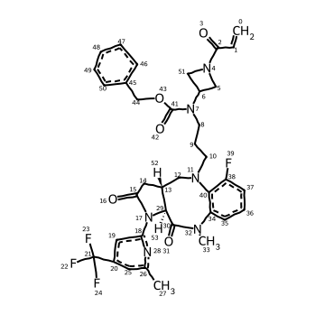 C=CC(=O)N1CC(N(CCCN2C[C@H]3CC(=O)N(c4cc(C(F)(F)F)cc(C)n4)[C@@H]3C(=O)N(C)c3cccc(F)c32)C(=O)OCc2ccccc2)C1